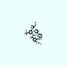 Cc1ccc(C(=O)Nc2cc(-n3cnc(CF)c3)cc(C(F)(F)F)c2)cc1Nc1nccc(-c2cccnc2)n1